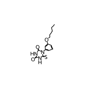 CCCCCOc1cccc(-n2c(=O)[nH]c(=O)[nH]c2=S)c1